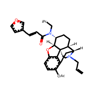 C=CCN1CC[C@@]23c4c5ccc(OC(C)=O)c4C[C@@H]1[C@@H]2CC[C@@H](N(CC(C)C)C(=O)/C=C/c1ccoc1)[C@@H]3O5